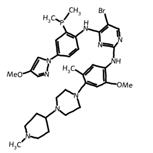 COc1cnn(-c2ccc(Nc3nc(Nc4cc(C)c(N5CCN(C6CCN(C)CC6)CC5)cc4OC)ncc3Br)c(P(C)C)c2)c1